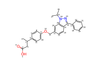 CC(CC(=O)O)c1ccc(OCc2ccc3c(-c4ccccc4)nn(C(C)C)c3c2)cc1